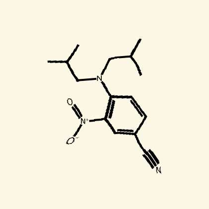 CC(C)CN(CC(C)C)c1ccc(C#N)cc1[N+](=O)[O-]